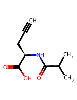 C#CC[C@@H](NC(=O)C(C)C)C(=O)O